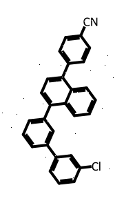 N#Cc1ccc(-c2ccc(-c3cccc(-c4cccc(Cl)c4)c3)c3ccccc23)cc1